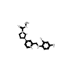 CC(C)(C)OC(=O)N1CC[C@H](c2ccnc(COc3ccc(Cl)cc3F)c2)C1